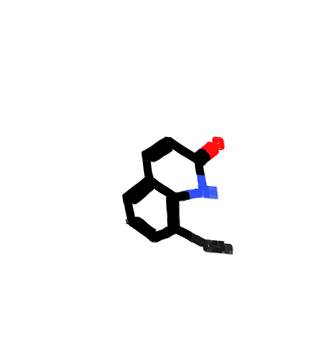 COc1c[c]cc2ccc(=O)[nH]c12